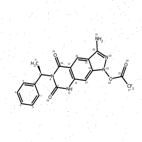 C[C@H](c1ccccc1)n1c(=O)[nH]c2cc3c(cc2c1=O)c(N)nn3OC(=O)C(F)(F)F